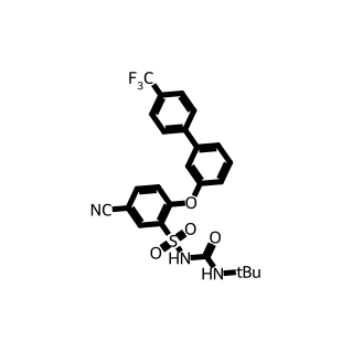 CC(C)(C)NC(=O)NS(=O)(=O)c1cc(C#N)ccc1Oc1cccc(-c2ccc(C(F)(F)F)cc2)c1